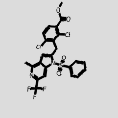 COC(=O)c1ccc(Cl)c(Cc2cc3c(C)nc(C(F)(F)F)cc3n2S(=O)(=O)c2ccccc2)c1Cl